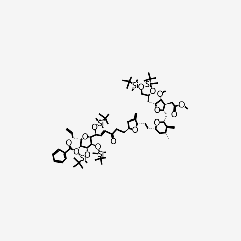 C=CC[C@@H]1O[C@@H]([C@H](/C=C/C(=O)CC[C@H]2CC(=C)[C@H](CC[C@H]3C[C@@H](C)C(=C)[C@@H](C[C@@H]4O[C@H](C[C@@H](CO[Si](C)(C)C(C)(C)C)O[Si](C)(C)C(C)(C)C)[C@H](OC)[C@H]4CC(=O)OC)O3)O2)O[Si](C)(C)C(C)(C)C)[C@@H](O[Si](C)(C)C(C)(C)C)[C@@H](O[Si](C)(C)C(C)(C)C)[C@H]1OC(=O)c1ccccc1